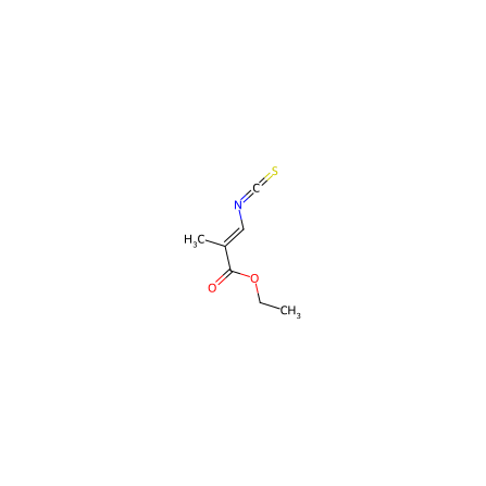 CCOC(=O)C(C)=CN=C=S